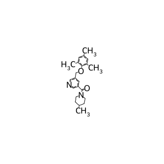 Cc1cc(C)c(OCc2cncc(C(=O)N3CCC(C)CC3)c2)c(C)c1